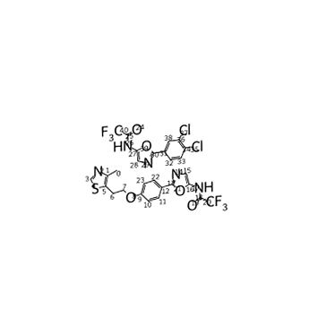 Cc1ncsc1CCOc1ccc(-c2ncc(NC(=O)C(F)(F)F)o2)cc1.O=C(Nc1cnc(-c2ccc(Cl)c(Cl)c2)o1)C(F)(F)F